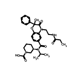 CCC(=O)NCCN1C(=O)C(C)(c2ccccc2)Oc2ccc(C(=O)N(C(C)C)[C@@H]3CCCN(C(=O)O)C3)cc21